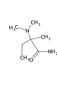 CCC(C)(C(N)=O)N(C)C